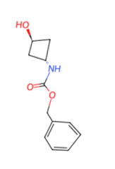 O=C(N[C@H]1C[C@H](O)C1)OCc1ccccc1